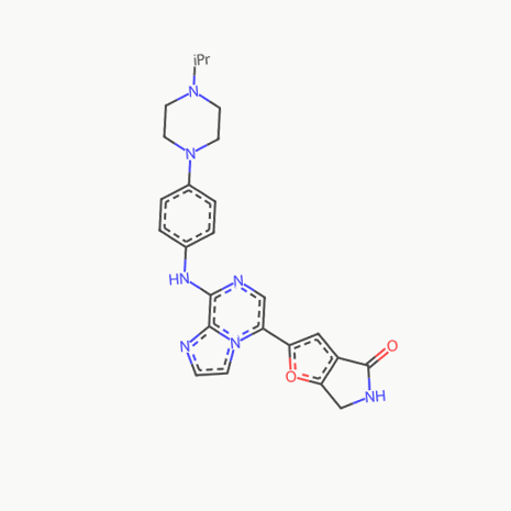 CC(C)N1CCN(c2ccc(Nc3ncc(-c4cc5c(o4)CNC5=O)n4ccnc34)cc2)CC1